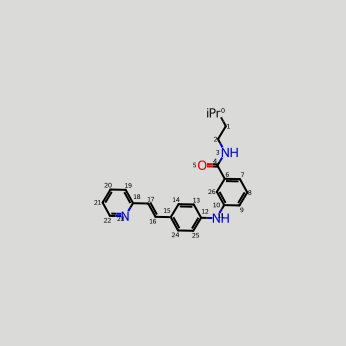 CC(C)CCNC(=O)c1cccc(Nc2ccc(C=Cc3ccccn3)cc2)c1